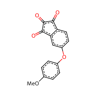 COc1ccc(Oc2ccc3c(=O)c(=O)c(=O)c3c2)cc1